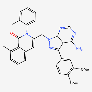 COc1ccc(C2=NN(Cc3cc4cccc(C)c4c(=O)n3-c3ccccc3C)C3N=CN=C(N)C23)cc1OC